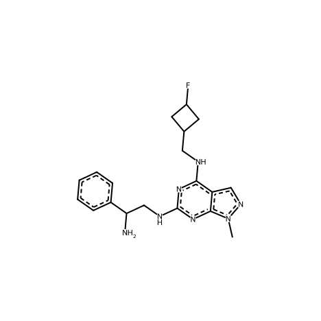 Cn1ncc2c(NCC3CC(F)C3)nc(NCC(N)c3ccccc3)nc21